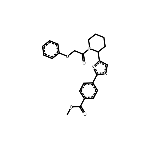 COC(=O)c1ccc(-c2nc(C3CCCCN3C(=O)COc3ccccc3)cs2)cc1